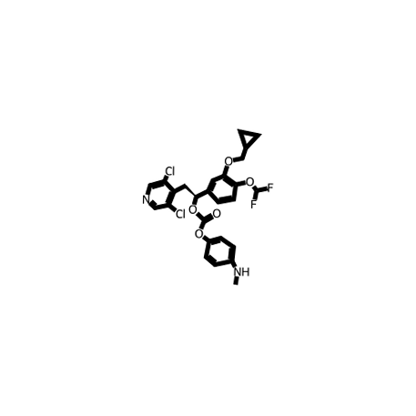 CNc1ccc(OC(=O)O[C@@H](Cc2c(Cl)cncc2Cl)c2ccc(OC(F)F)c(OCC3CC3)c2)cc1